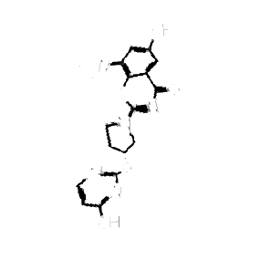 Cc1ccnc(O[C@@H]2CCN(c3nc(=O)c4cc(C(F)(F)F)cc([N+](=O)[O-])c4s3)C2)n1